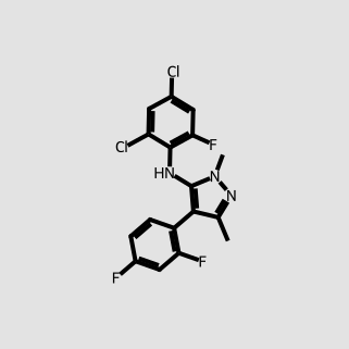 Cc1nn(C)c(Nc2c(F)cc(Cl)cc2Cl)c1-c1ccc(F)cc1F